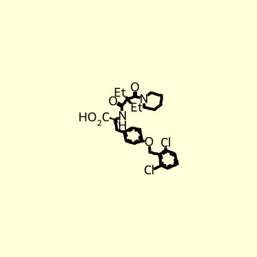 CCC(CC)(C(=O)N[C@@H](Cc1ccc(OCc2c(Cl)cccc2Cl)cc1)C(=O)O)C(=O)N1CCCCC1